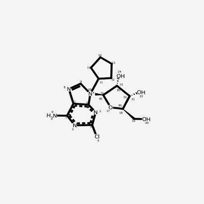 Nc1nc(Cl)nc2c1N=C[N+]2(C1CCCC1)[C@@H]1O[C@H](CO)[C@@H](O)[C@H]1O